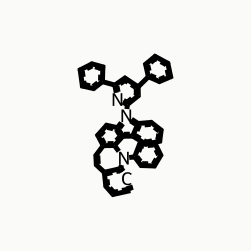 C1=Cc2ccc3c(c2N(c2ccccc2)c2ccccc21)c1ccccc1n3-c1cc(-c2ccccc2)cc(-c2ccccc2)n1